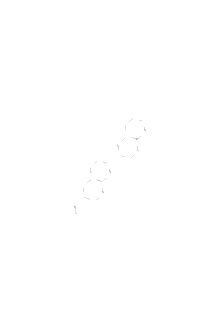 Cc1c(C)c(C)c2cc(-c3ccc4cc(C(=O)O)ccc4c3)c(Cl)cc2c1C